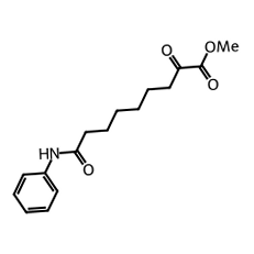 COC(=O)C(=O)CCCCCCC(=O)Nc1ccccc1